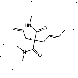 C=CCC(C/C=C/C)(C(=O)NC)C(=O)N(C)C